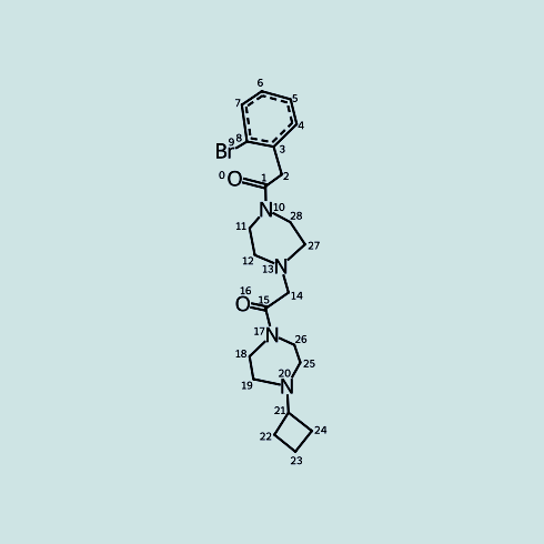 O=C(Cc1ccccc1Br)N1CCN(CC(=O)N2CCN(C3CCC3)CC2)CC1